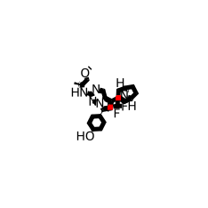 COC[C@H](C)Nc1ncc2c(C3=C[C@H]4CC[C@@H](C3)N4CC(F)(F)F)cc([C@H]3CC[C@H](O)CC3)n2n1